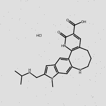 CC(C)NCc1cc2cc3c(cc2n1C)NCCCc1cc(C(=O)O)c(=O)[nH]c1-3.Cl